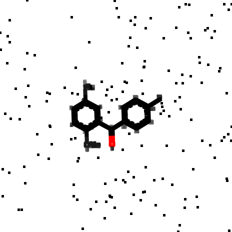 COc1ccc(C(C)(C)C)cc1C(=O)c1ccc(C)cc1